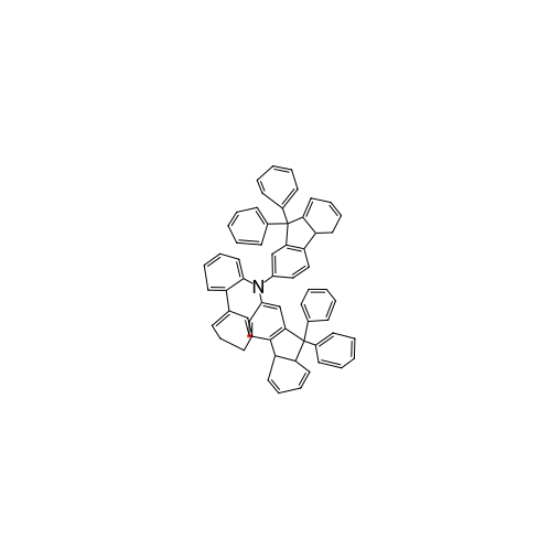 C1=CCC2C(=C1)C(c1ccccc1)(c1ccccc1)c1cc(N(c3ccc4c(c3)C(c3ccccc3)(c3ccccc3)C3C=CC=CC43)c3ccccc3C3=CCCC=C3)ccc12